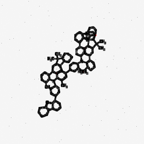 Cc1cc(-c2ccc(N(c3ccc(-c4cccc5c4oc4ccccc45)cc3)c3c(C)cccc3-c3ccc4c(c3)C(C)(C)c3ccccc3-4)c(C)c2)ccc1N(c1ccc(-c2cccc3c2oc2ccccc23)cc1)c1c(C)cccc1-c1ccc2c(c1)C(C)(C)c1ccccc1-2